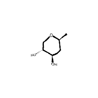 C[C@H]1C[C@@H](O)[C@H](O)CO1